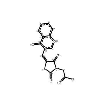 O=C(O)CN1C(=O)S/C(=C/c2coc3ccccc3c2=O)C1=O